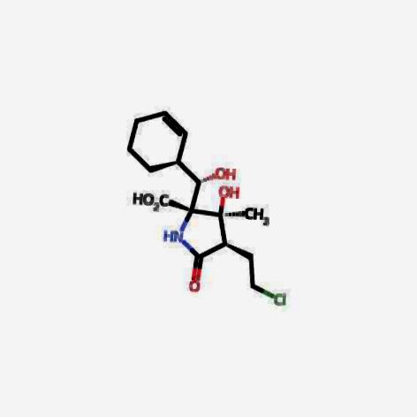 C[C@]1(O)[C@@H](CCCl)C(=O)N[C@]1(C(=O)O)[C@@H](O)[C@@H]1C=CCCC1